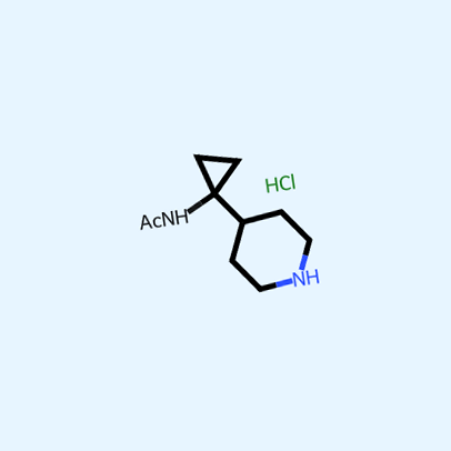 CC(=O)NC1(C2CCNCC2)CC1.Cl